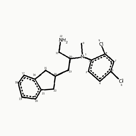 CN(c1ccc(Cl)cc1Cl)C(CN)CC1Cc2ccccc2C1